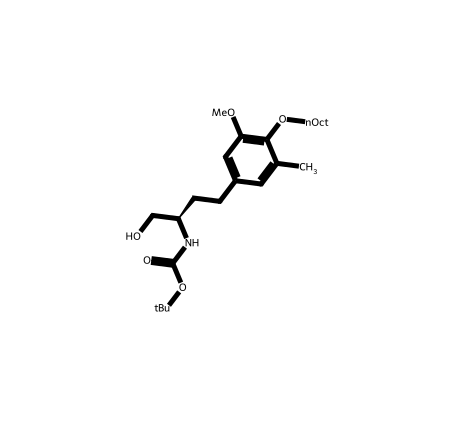 CCCCCCCCOc1c(C)cc(CC[C@H](CO)NC(=O)OC(C)(C)C)cc1OC